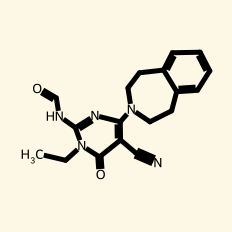 CCn1c(NC=O)nc(N2CCc3ccccc3CC2)c(C#N)c1=O